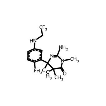 CN1C(=O)C(C)(C)C(C)(c2cc(NCC(F)(F)F)ccc2F)N=C1N